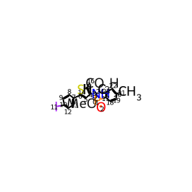 COP(=O)(Nc1cc(-c2ccc(I)cc2)sc1C(=O)O)c1ccc(C)cc1C